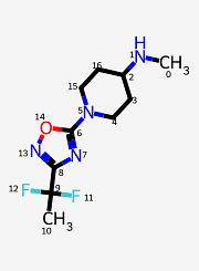 CNC1CCN(c2nc(C(C)(F)F)no2)CC1